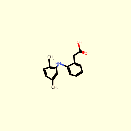 Cc1ccc(C)c(Nc2ccccc2CC(=O)O)c1